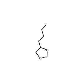 CCC[CH]C1COCO1